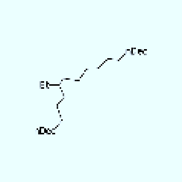 CCCCCCCCCCCCCCCCC(CC)CCCCCCCCCCCCC